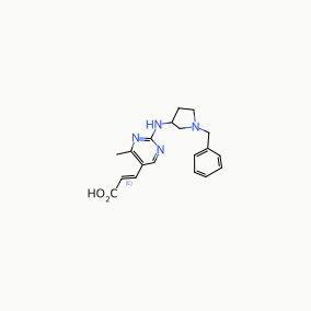 Cc1nc(NC2CCN(Cc3ccccc3)C2)ncc1/C=C/C(=O)O